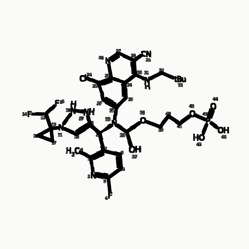 Cc1nc(F)ccc1[C@@H](C1=CN(C2(C(F)F)CC2)NN1)N(c1cc(Cl)c2ncc(C#N)c(NCC(C)(C)C)c2c1)C(O)OCCCOP(=O)(O)O